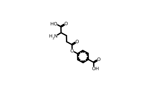 NC(CCC(=O)Oc1ccc(C(=O)O)cc1)C(=O)O